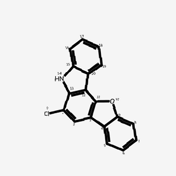 Clc1cc2c3ccccc3oc2c2c1[nH]c1ccccc12